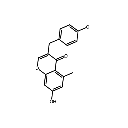 Cc1cc(O)cc2occ(Cc3ccc(O)cc3)c(=O)c12